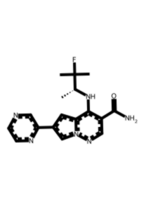 C[C@@H](Nc1c(C(N)=O)cnn2cc(-c3cnccn3)cc12)C(C)(C)F